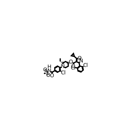 CC[C@@H]1C[C@H](OC(=O)c2c(-c3c(Cl)cccc3Cl)noc2C2CC2)CCN1c1ccc(C(=O)NS(C)(=O)=O)cc1Cl